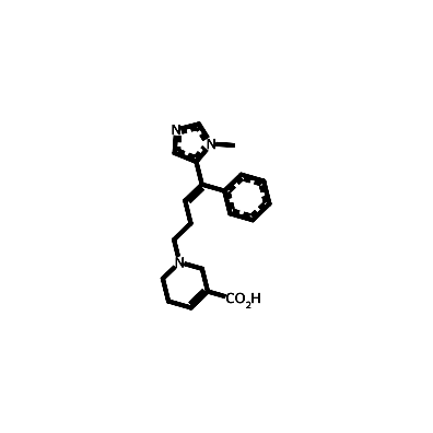 Cn1cncc1C(=CCCN1CCC=C(C(=O)O)C1)c1ccccc1